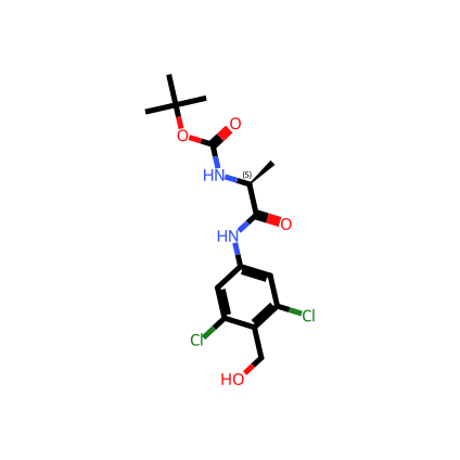 C[C@H](NC(=O)OC(C)(C)C)C(=O)Nc1cc(Cl)c(CO)c(Cl)c1